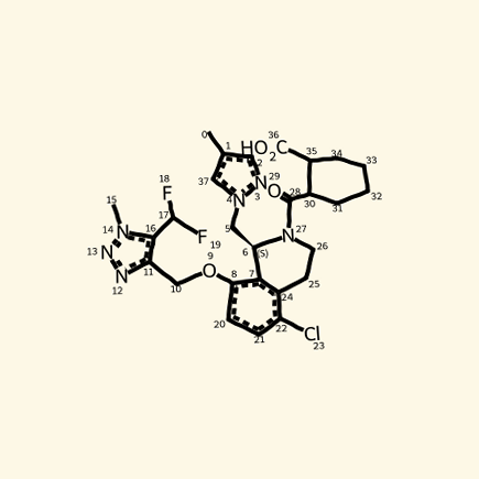 Cc1cnn(C[C@@H]2c3c(OCc4nnn(C)c4C(F)F)ccc(Cl)c3CCN2C(=O)C2CCCCC2C(=O)O)c1